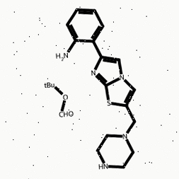 CC(C)(C)OC=O.Nc1ccccc1-c1cn2cc(CN3CCNCC3)sc2n1